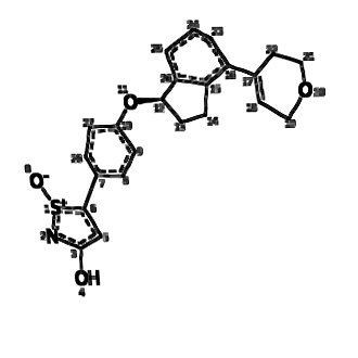 [O-][s+]1nc(O)cc1-c1ccc(O[C@@H]2CCc3c(C4=CCOCC4)cccc32)cc1